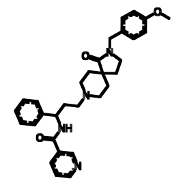 COc1ccc(CN2CCC3(CCN(CCC(NC(=O)c4cccnc4)c4ccccc4)CC3)C2=O)cc1